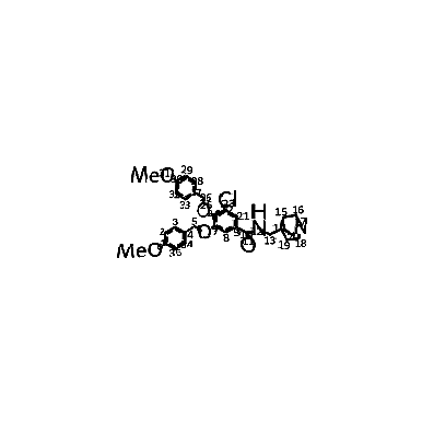 COc1ccc(COc2cc(C(=O)NCC34CCN(CC3)C4)cc(Cl)c2OCc2ccc(OC)cc2)cc1